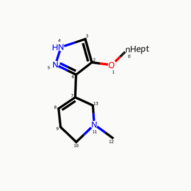 CCCCCCCOc1c[nH]nc1C1=CCCN(C)C1